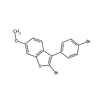 COc1ccc2c(-c3ccc(Br)cc3)c(Br)sc2c1